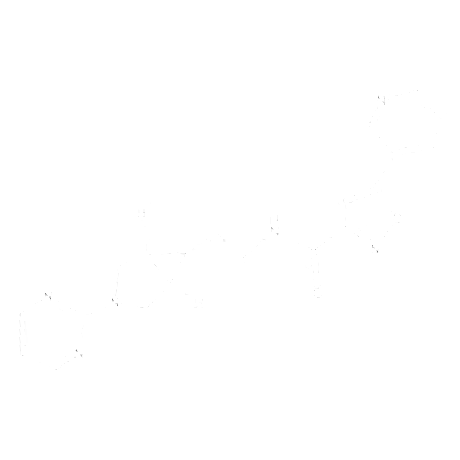 O=C(NCC[C@@H]1[C@H]2CN(c3ncccn3)C[C@@H]12)c1cc(-c2cccnc2)on1